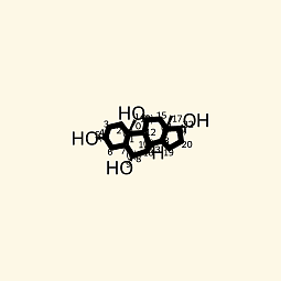 C[C@]12CC[C@H](O)CC1[C@H](O)C[C@@H]1C2[C@H](O)C[C@@]2(C)C1CC[C@@H]2O